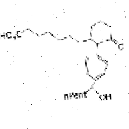 CCCCCC(O)c1ccc(C2C(=O)CCCC2CCCCCCC(=O)O)cc1